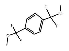 COC(F)(F)c1ccc(C(F)(F)OC)cc1